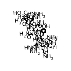 CC(C)C[C@H](NC(=O)[C@H](CC(C)C)NC(=O)[C@H](CCCCN)NC(=O)[C@H](CCCNC(=N)N)NC(=O)[C@H](Cc1ccc(O)cc1)NC(=O)[C@H](CCC(N)=O)NC(=O)[C@H](CCC(N)=O)NC(=O)[C@H](CCCNC(=N)N)NC(=O)[C@@H](NC(=O)[C@@H](C)CC(=O)O)[C@@H](C)O)C(N)=O